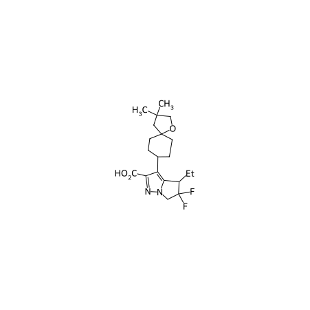 CCC1c2c(C3CCC4(CC3)CC(C)(C)CO4)c(C(=O)O)nn2CC1(F)F